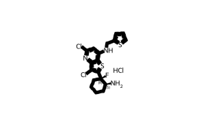 Cl.N[C@H]1CCCC[C@]1(F)c1sc2c(NCc3cccs3)cc(Cl)nc2c1Cl